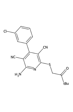 CC(C)(C)C(=O)CSc1nc(N)c(C#N)c(-c2cccc(Cl)c2)c1C#N